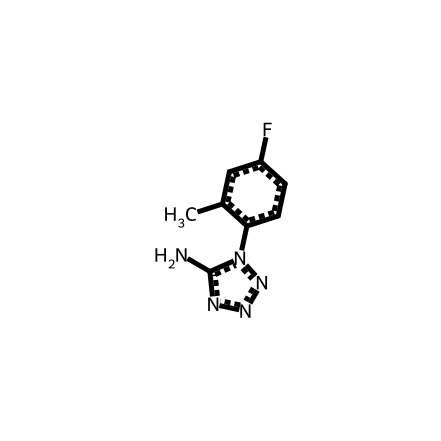 Cc1cc(F)ccc1-n1nnnc1N